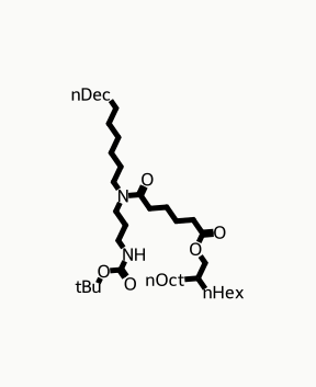 CCCCCCCCCCCCCCCCN(CCCNC(=O)OC(C)(C)C)C(=O)CCCCC(=O)OCC(CCCCCC)CCCCCCCC